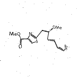 COC(=O)c1csc(C[C@H](/C=C/C=C\Br)OC)n1